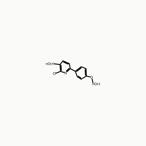 CCCCCCCCOc1ccc(-c2ccc(CCCCCCCC)c(Cl)n2)cc1